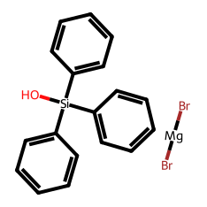 O[Si](c1ccccc1)(c1ccccc1)c1ccccc1.[Br][Mg][Br]